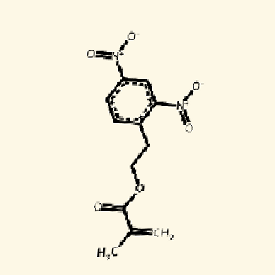 C=C(C)C(=O)OCCc1ccc([N+](=O)[O-])cc1[N+](=O)[O-]